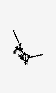 CCCCCCCCCCCCCCCC(=O)OCC(COP(=O)(O)OCC[N+](C)(C)C)OC(=O)CCC1c2[nH]c(cc3nc(cc4[nH]c(cc5nc6c2CC(=O)C6=C5C)c(CC)c4C)C(C(C)OCCCCCCCCCC)=C3C)C1C